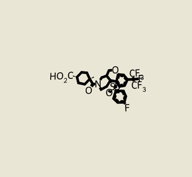 C[C@]1(C(=O)N2CCC3(S(=O)(=O)c4ccc(F)cc4)c4ccc(C(F)(C(F)(F)F)C(F)(F)F)cc4OCC3C2)CC[C@H](C(=O)O)CC1